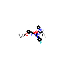 C=CCOc1cccc(CCC(=O)N[C@@H](CCc2ccc(F)cc2)C(=O)NC(CC=C)C(=O)NC2CCCC2)c1